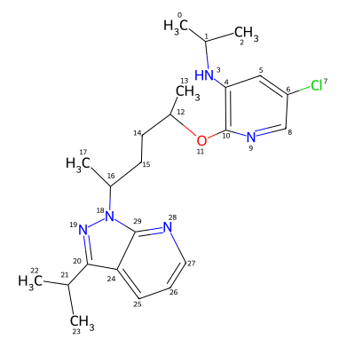 CC(C)Nc1cc(Cl)cnc1OC(C)CCC(C)n1nc(C(C)C)c2cccnc21